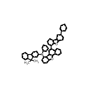 CC1(C)c2ccccc2-c2ccc(N(c3ccccc3)c3cccc4oc5c6ccccc6c(-c6cccc7c6oc6ccc(-c8ccccc8)cc67)cc5c34)cc21